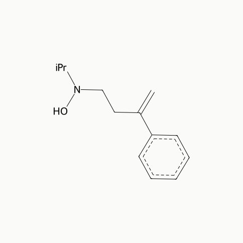 C=C(CCN(O)C(C)C)c1ccccc1